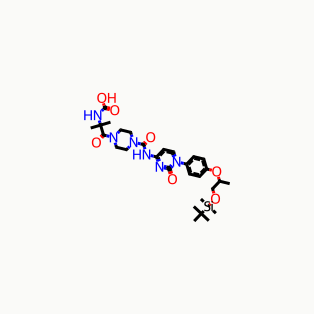 CC(CO[Si](C)(C)C(C)(C)C)Oc1ccc(-n2ccc(NC(=O)N3CCN(C(=O)C(C)(C)NC(=O)O)CC3)nc2=O)cc1